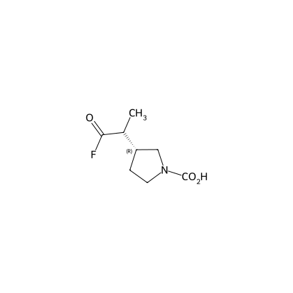 CC(C(=O)F)[C@H]1CCN(C(=O)O)C1